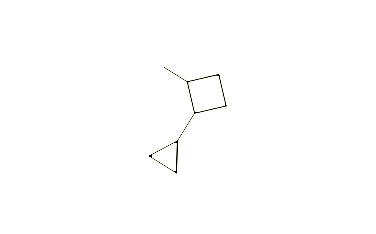 CCC1CC[C]1C1CC1